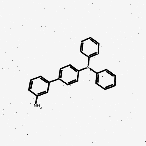 Nc1cccc(-c2ccc(N(c3ccccc3)c3ccccc3)cc2)c1